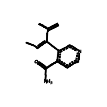 C=C(C)/C(=C\C)c1cnccc1C(N)=O